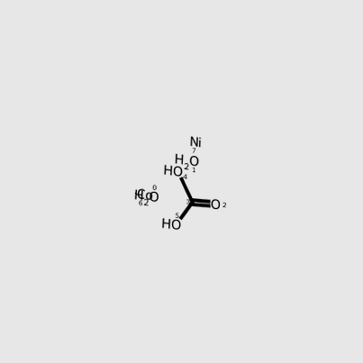 O.O.O=C(O)O.[Co].[Ni]